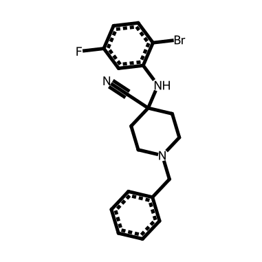 N#CC1(Nc2cc(F)ccc2Br)CCN(Cc2ccccc2)CC1